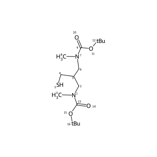 CN(CC(CS)CN(C)C(=O)OC(C)(C)C)C(=O)OC(C)(C)C